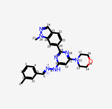 Cc1cccc(/C=N/Nc2cc(N3CCOCC3)nc(-c3ccc4cnn(C)c4c3)n2)c1